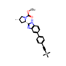 C[C@H]1C[C@@H](c2nc3cc(-c4ccc(C#C[Si](C)(C)C)cc4)ccc3[nH]2)N(C(=O)OC(C)(C)C)C1